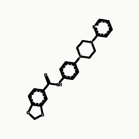 O=C(Nc1ccc(N2CCN(c3ccccn3)CC2)cc1)c1ccc2c(c1)OCO2